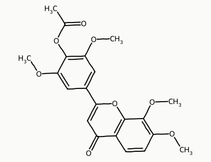 COc1cc(-c2cc(=O)c3ccc(OC)c(OC)c3o2)cc(OC)c1OC(C)=O